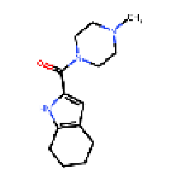 CN1CCN(C(=O)c2cc3c([nH]2)CCCC3)CC1